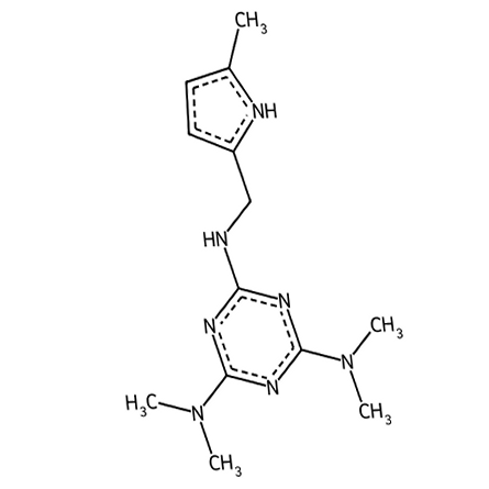 Cc1ccc(CNc2nc(N(C)C)nc(N(C)C)n2)[nH]1